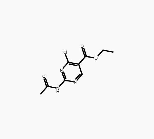 CCOC(=O)c1cnc(NC(C)=O)nc1Cl